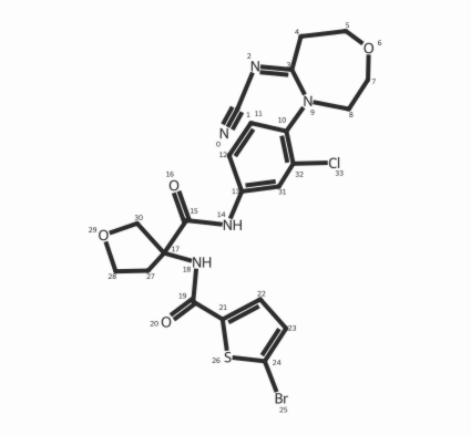 N#CN=C1CCOCCN1c1ccc(NC(=O)C2(NC(=O)c3ccc(Br)s3)CCOC2)cc1Cl